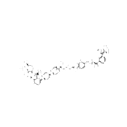 O=C1CCC(N2C(=O)c3cccc(N4CCC(N5CCN(C(=O)CCCCOc6ccc(CCNC(=O)c7cccc(C(=O)NO)c7)cc6)CC5)CC4)c3C2=O)C(=O)N1